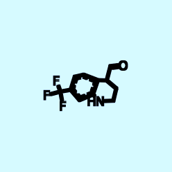 O=CC1CCNc2cc(C(F)(F)F)ccc21